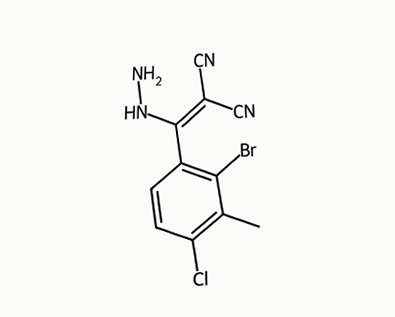 Cc1c(Cl)ccc(C(NN)=C(C#N)C#N)c1Br